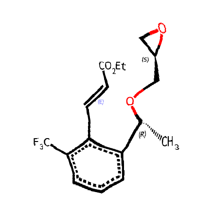 CCOC(=O)/C=C/c1c([C@@H](C)OC[C@H]2CO2)cccc1C(F)(F)F